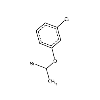 CC(Br)Oc1cccc(Cl)c1